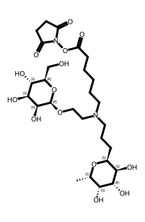 C[C@@H]1O[C@@H](CCCN(CCCCCC(=O)ON2C(=O)CCC2=O)CCO[C@@H]2O[C@H](CO)[C@@H](O)[C@H](O)[C@@H]2O)[C@@H](O)[C@H](O)[C@@H]1O